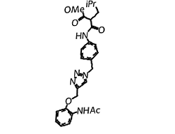 COC(=O)C(CC(C)C)C(=O)Nc1ccc(Cn2cc(COc3ccccc3NC(C)=O)nn2)cc1